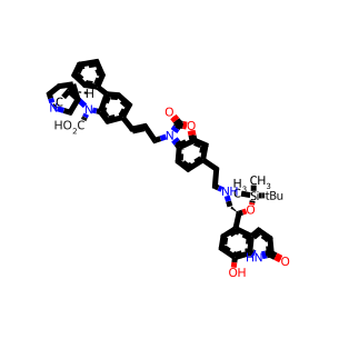 CC(C)(C)[Si](C)(C)O[C@@H](CNCCc1ccc2c(c1)oc(=O)n2CC=Cc1ccc(-c2ccccc2)c(N(C(=O)O)[C@H]2CN3CCC2CC3)c1)c1ccc(O)c2[nH]c(=O)ccc12